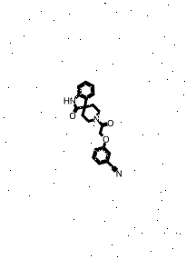 N#Cc1cccc(OCC(=O)N2CCC3(CC2)C(=O)Nc2ccccc23)c1